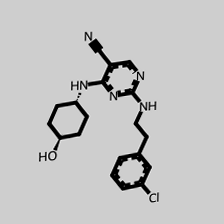 N#Cc1cnc(NCCc2cccc(Cl)c2)nc1N[C@H]1CC[C@H](O)CC1